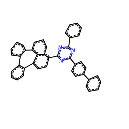 c1ccc(-c2ccc(-c3nc(-c4ccccc4)nc(-c4ccc5c6c(cccc46)-c4ccccc4-c4ccccc4-5)n3)cc2)cc1